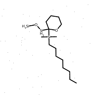 CCCCCCCC[Si](C)(C)C1([SiH2]O[SiH3])CCCCO1